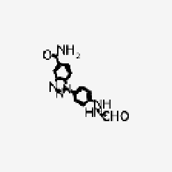 NC(=O)c1ccc2c(c1)nnn2-c1ccc(NNC=O)cc1